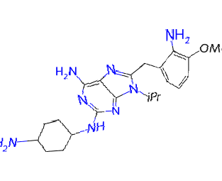 COc1cccc(Cc2nc3c(N)nc(NC4CCC(N)CC4)nc3n2C(C)C)c1N